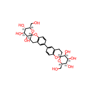 OC[C@H]1O[C@@]2(CCc3cc(-c4ccc5c(c4)CC[C@]4(O5)O[C@H](CO)[C@@H](O)[C@H](O)[C@@H]4O)ccc3O2)[C@@H](O)[C@@H](O)[C@@H]1O